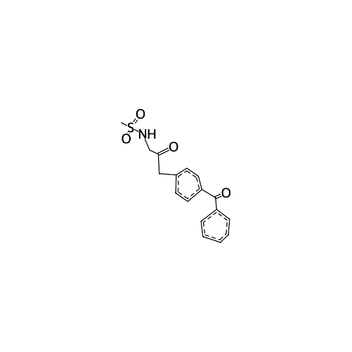 CS(=O)(=O)NCC(=O)Cc1ccc(C(=O)c2ccccc2)cc1